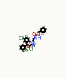 O=C(NCc1nnc(CCl)n1-c1ccc(Cl)cc1C(=O)c1ccccc1F)OCc1ccccc1